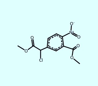 COC(=O)c1cc(C(Cl)C(=O)OC)ccc1[N+](=O)[O-]